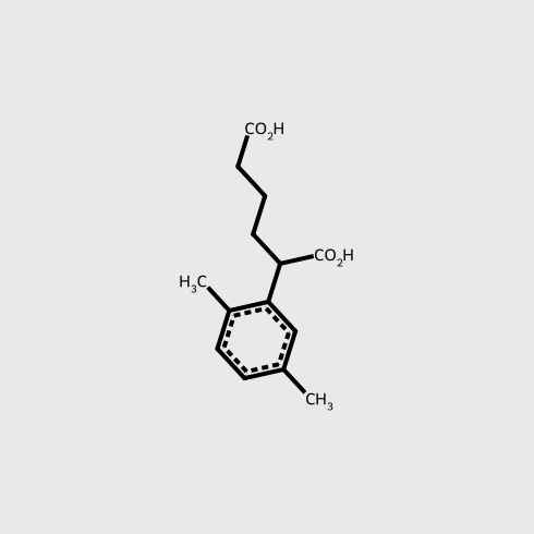 Cc1ccc(C)c(C(CCCC(=O)O)C(=O)O)c1